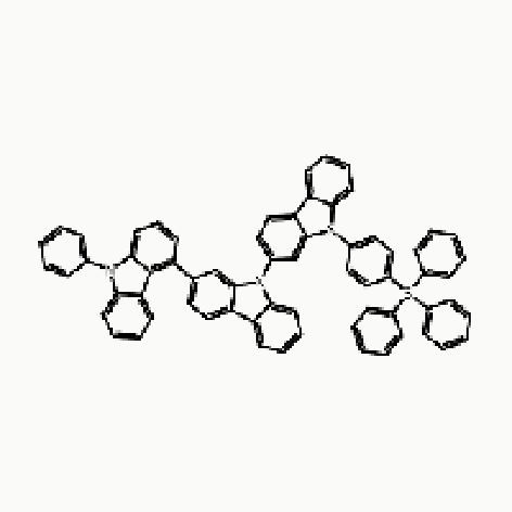 c1ccc(-n2c3ccccc3c3c(-c4ccc5c6ccccc6n(-c6ccc7c8ccccc8n(-c8ccc([Si](c9ccccc9)(c9ccccc9)c9ccccc9)cc8)c7c6)c5c4)cccc32)cc1